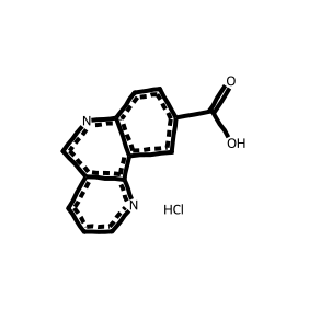 Cl.O=C(O)c1ccc2ncc3cccnc3c2c1